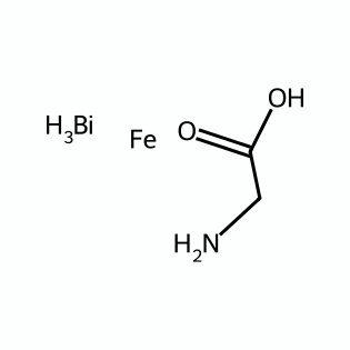 NCC(=O)O.[BiH3].[Fe]